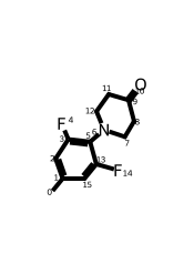 Cc1cc(F)c(N2CCC(=O)CC2)c(F)c1